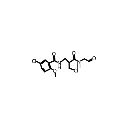 COc1ccc(Cl)cc1C(=O)NCC(CCl)C(=O)NCC=O